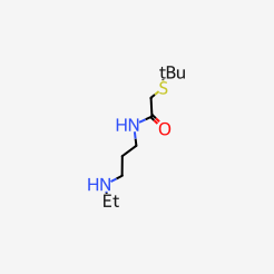 CCNCCCNC(=O)CSC(C)(C)C